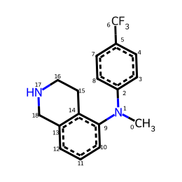 CN(c1ccc(C(F)(F)F)cc1)c1cccc2c1CCNC2